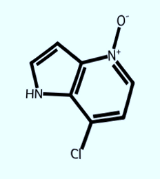 [O-][n+]1ccc(Cl)c2[nH]ccc21